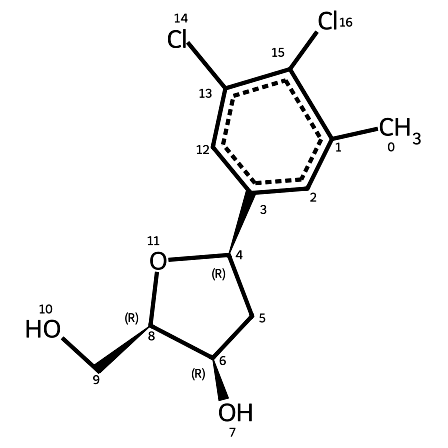 Cc1cc([C@H]2C[C@@H](O)[C@@H](CO)O2)cc(Cl)c1Cl